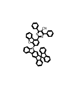 N#Cc1c(-c2ccccc2)nc(-c2ccc(-n3c4ccccc4c4cc5c(cc43)C3(c4ccccc4-c4ccccc43)c3ccccc3-5)c3oc4ccccc4c23)nc1-c1ccccc1